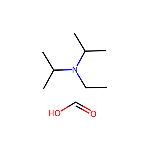 CCN(C(C)C)C(C)C.O=CO